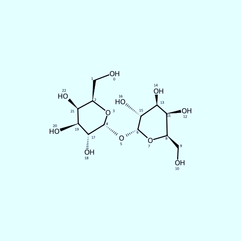 OC[C@H]1O[C@H](O[C@H]2O[C@H](CO)[C@H](O)[C@H](O)[C@H]2O)[C@H](O)[C@@H](O)[C@H]1O